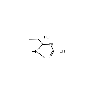 CCC(NC(=O)O)N(C)C.Cl